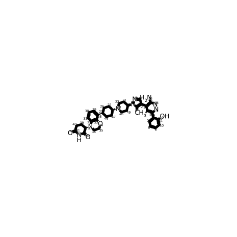 Cc1c(-c2cc(-c3ccccc3O)nnc2N)cnn1C1CCN([C@H]2CC[C@H](c3cccc4c3OCCN4[C@H]3CCC(=O)NC3=O)CC2)CC1